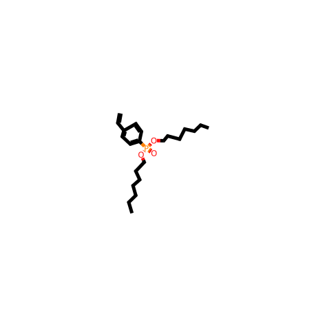 C=Cc1ccc(P(=O)(OCCCCCCC)OCCCCCCC)cc1